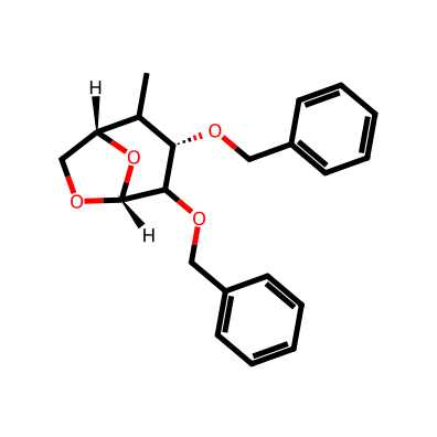 CC1[C@H](OCc2ccccc2)C(OCc2ccccc2)[C@@H]2OC[C@H]1O2